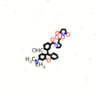 CN(C)c1ccc2c(c1)OC1=CCC=CC1=C2c1cc(C(=O)N2CCCC2C(=O)ON2C(=O)CCC2=O)ccc1C=O